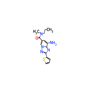 CCCN(C)C(=O)c1cc(N)c2nc(-c3cccs3)nn2c1